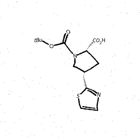 CC(C)(C)OC(=O)N1C[C@@H](c2nccs2)C[C@H]1C(=O)O